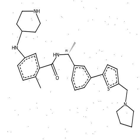 Cc1ccc(NC2CCNCC2)cc1C(=O)N[C@H](C)c1cccc(-c2ccc(CN3CCCC3)s2)c1